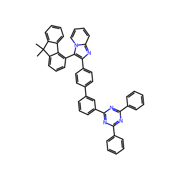 CC1(C)c2ccccc2-c2c(-c3c(-c4ccc(-c5cccc(-c6nc(-c7ccccc7)nc(-c7ccccc7)n6)c5)cc4)nc4ccccn34)cccc21